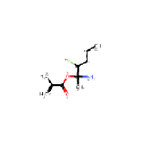 C=C(C)C(=O)OC(C)(N)C(F)CCC